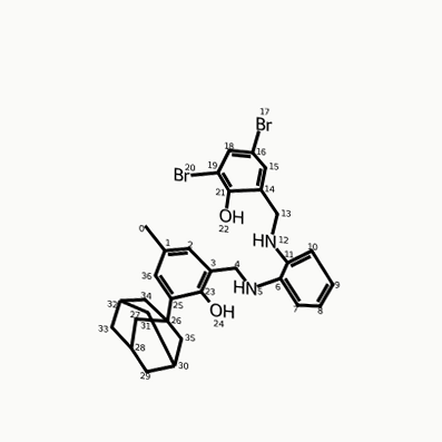 Cc1cc(CNc2ccccc2NCc2cc(Br)cc(Br)c2O)c(O)c(C23CC4CC(CC(C4)C2)C3)c1